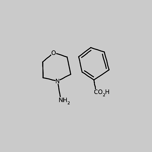 NN1CCOCC1.O=C(O)c1ccccc1